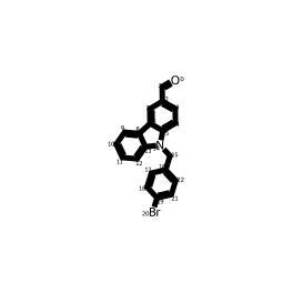 O=Cc1ccc2c(c1)c1ccccc1n2Cc1ccc(Br)cc1